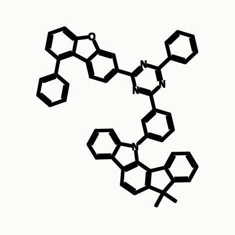 CC1(C)c2ccccc2-c2c1ccc1c3ccccc3n(-c3cccc(-c4nc(-c5ccccc5)nc(-c5ccc6c(c5)oc5cccc(-c7ccccc7)c56)n4)c3)c21